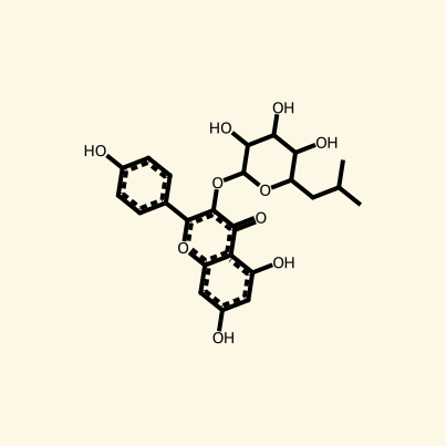 CC(C)CC1OC(Oc2c(-c3ccc(O)cc3)oc3cc(O)cc(O)c3c2=O)C(O)C(O)C1O